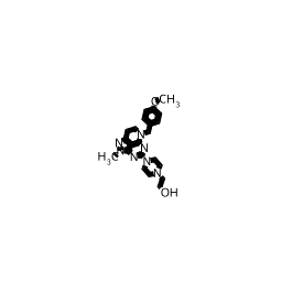 COc1ccc(CN2CCc3nn(C)c4nc(N5CCN(CCO)CC5)nc2c34)cc1